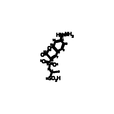 CC(CS(=O)(=O)c1cc2ccc(NN)cc2oc1=O)S(=O)(=O)O